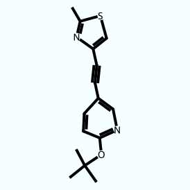 Cc1nc(C#Cc2ccc(OC(C)(C)C)nc2)cs1